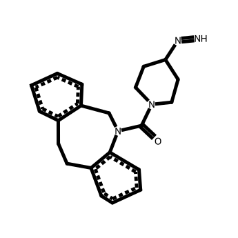 N=NC1CCN(C(=O)N2Cc3ccccc3CCc3ccccc32)CC1